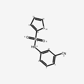 N#Cc1cc[c]c(NS(=O)(=O)c2cccs2)c1